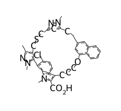 Cc1nn(C)c2c1CSCc1cc(n(C)n1)CCc1cc(c3ccccc3c1)OCCCc1c(C(=O)O)n(C)c3c-2c(Cl)ccc13